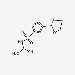 CC(C)NS(=O)(=O)c1cc(C2OCCO2)co1